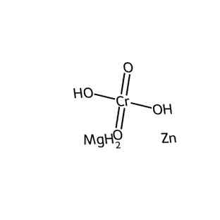 [MgH2].[O]=[Cr](=[O])([OH])[OH].[Zn]